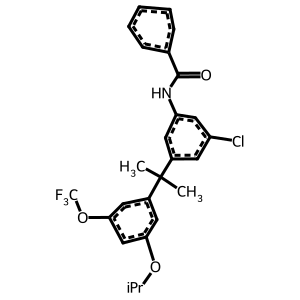 CC(C)Oc1cc(OC(F)(F)F)cc(C(C)(C)c2cc(Cl)cc(NC(=O)c3ccccc3)c2)c1